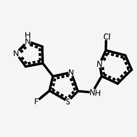 Fc1sc(Nc2cccc(Cl)n2)nc1-c1cn[nH]c1